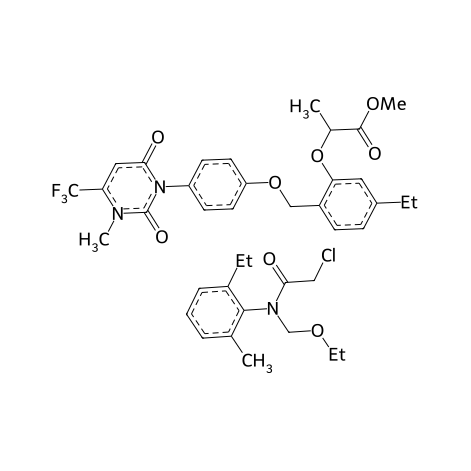 CCOCN(C(=O)CCl)c1c(C)cccc1CC.CCc1ccc(COc2ccc(-n3c(=O)cc(C(F)(F)F)n(C)c3=O)cc2)c(OC(C)C(=O)OC)c1